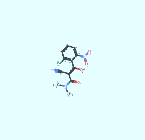 CN(C)C(=O)C(C#N)=C(O)c1c(Cl)cccc1[N+](=O)[O-]